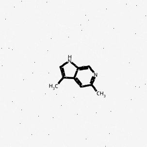 Cc1cc2c(C)c[nH]c2cn1